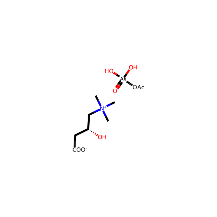 CC(=O)O[As](=O)(O)O.C[N+](C)(C)C[C@H](O)CC(=O)[O-]